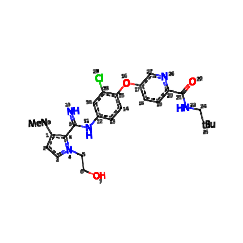 CNc1ccn(CCO)c1C(=N)Nc1ccc(Oc2ccc(C(=O)NCC(C)(C)C)nc2)c(Cl)c1